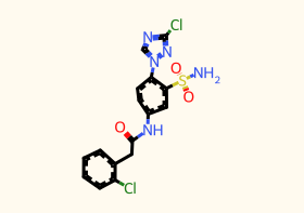 NS(=O)(=O)c1cc(NC(=O)Cc2ccccc2Cl)ccc1-n1cnc(Cl)n1